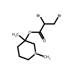 CN1CCCC(C)(OC(=O)C(Br)CBr)C1